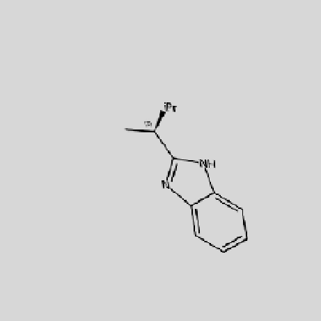 CC(C)[C@H](C)c1nc2ccccc2[nH]1